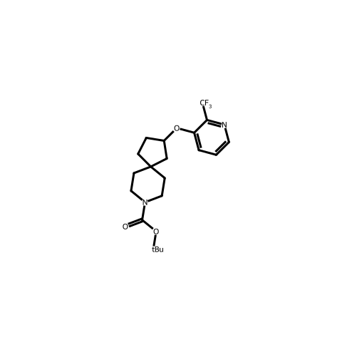 CC(C)(C)OC(=O)N1CCC2(CCC(Oc3cccnc3C(F)(F)F)C2)CC1